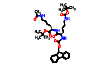 CC(=O)NCCCC[C@H](NC(=O)[C@H](CCCCNC(=O)OC(C)(C)C)NC(=O)OCC1c2ccccc2-c2ccccc21)C(=O)OC(C)(C)C